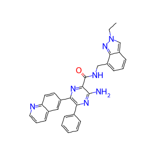 CCn1cc2cccc(CNC(=O)c3nc(-c4ccc5ncccc5c4)c(-c4ccccc4)nc3N)c2n1